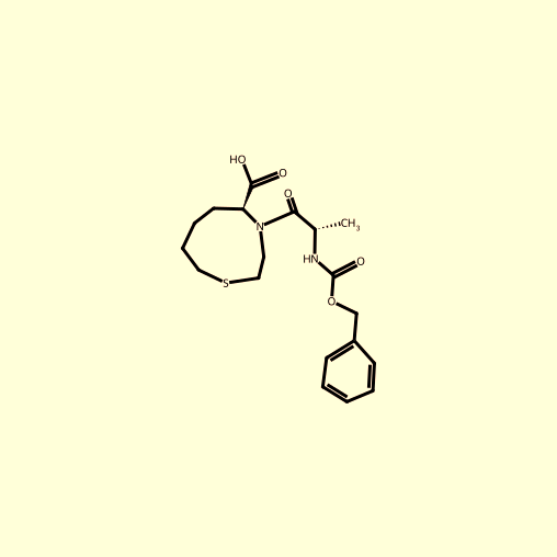 C[C@H](NC(=O)OCc1ccccc1)C(=O)N1CCSCCCC[C@H]1C(=O)O